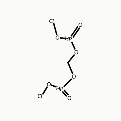 O=[PH](OCl)OCO[PH](=O)OCl